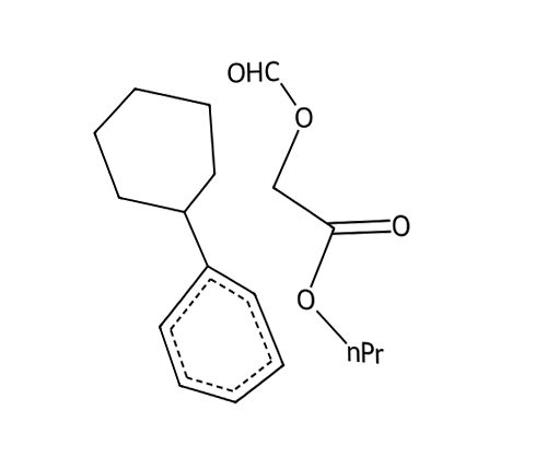 CCCOC(=O)COC=O.c1ccc(C2CCCCC2)cc1